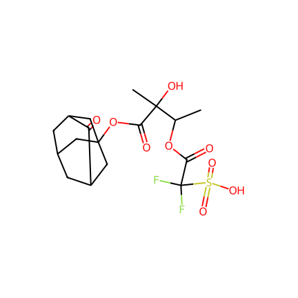 CC(OC(=O)C(F)(F)S(=O)(=O)O)C(C)(O)C(=O)OC12CC3CC(C1)C(=O)C(C3)C2